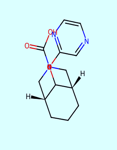 O=C(O)N1C[C@H]2CCC[C@@H](C1)C2Oc1cnccn1